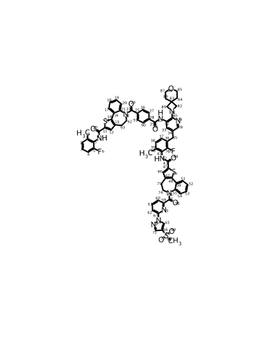 Cc1cccc(F)c1NC(=O)c1cc2c(s1)-c1ccccc1N(C(=O)c1ccc(C(=O)Nc3cc(Cc4ccc(C)c(NC(=O)c5cc6c(s5)-c5ccccc5N(C(=O)c5cccc(-n7cc(S(C)(=O)=O)cn7)n5)CC6)c4F)cnc3N3CC4(CCOCC4)C3)cc1)CC2